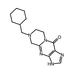 O=c1c2nc[nH]c2nc2n1CCN(CC1CCCCC1)C2